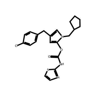 O=C(Nc1nccs1)Oc1cc(Cc2ccc(Cl)cc2)cn1CC1CCCC1